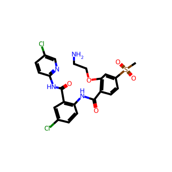 CS(=O)(=O)c1ccc(C(=O)Nc2ccc(Cl)cc2C(=O)Nc2ccc(Cl)cn2)c(OCCN)c1